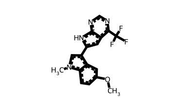 COc1ccc2c(c1)c(-c1cc3c(C(F)(F)F)ncnc3[nH]1)cn2C